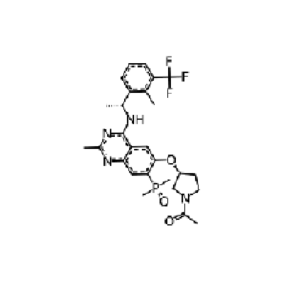 CC(=O)N1CC[C@H](Oc2cc3c(N[C@H](C)c4cccc(C(F)(F)F)c4C)nc(C)nc3cc2P(C)(C)=O)C1